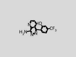 Nc1nnc(-c2ccc(C(F)(F)F)cc2O)c2cccnc12